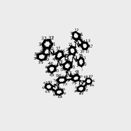 c1ccc(N2c3cc(-n4c5ccccc5c5ccccc54)ccc3B3c4ccc(-n5c6ccccc6c6ccccc65)cc4N(c4ccccc4)c4cc(-n5c6ccc(-n7c8ccccc8c8ccccc87)cc6c6cc(-n7c8ccccc8c8ccccc87)ccc65)cc2c43)cc1